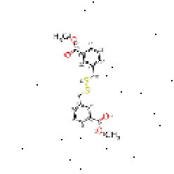 COC(=O)c1cccc(CSSCc2cccc(C(=O)OC)c2)c1